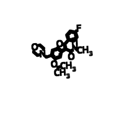 CNC(=O)c1c(-c2ccc(F)cc2)oc2cc(CN3CCOCC3)c(OC(C)C)cc12